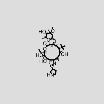 CC[C@H]1OC(=O)[C@H](C)[C@@H](O[C@H]2C[C@@](C)(OC)[C@@H](O)[C@H](C)O2)[C@H](C)[C@@H](C(C)(C)C)[C@](C)(O)C[C@@H](C)C(=NOC2CCNC2)[C@H](C)[C@@H](O)[C@]1(C)O